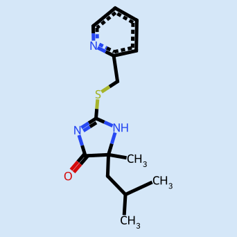 CC(C)CC1(C)NC(SCc2ccccn2)=NC1=O